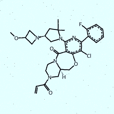 C=CC(=O)N1CCN2C(=O)c3c(N4C[C@@H](N5CC(OC)C5)CC4(C)C)nc(-c4ccccc4F)c(Cl)c3OC[C@H]2C1